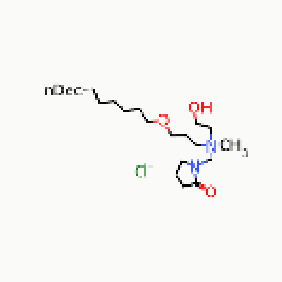 CCCCCCCCCCCCCCCCOCCC[N+](C)(CCO)CN1CCCC1=O.[Cl-]